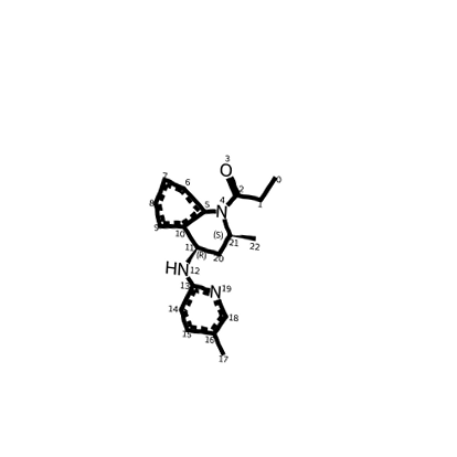 CCC(=O)N1c2ccccc2[C@H](Nc2ccc(C)cn2)C[C@@H]1C